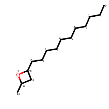 CCCCCCCCCCC[C]1CC(C)O1